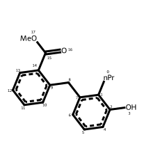 CCCc1c(O)cccc1Cc1ccccc1C(=O)OC